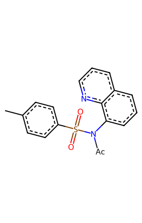 CC(=O)N(c1cccc2cccnc12)S(=O)(=O)c1ccc(C)cc1